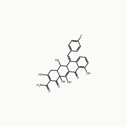 NC(=O)C1=C(O)CC2C(O)C3C(=C(O)C2(O)C1=O)C(=O)c1c(O)cccc1/C3=C\c1ccc(F)cc1